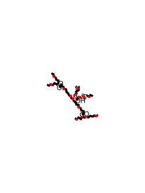 CCCCCCC(CCCCCC)OC(=O)CCCCCCCCC(CCCCCCCCC(=O)OC(CCCCCC)CCCCCC)N(CCCCN(C)C)C(O)CCSSCCCC